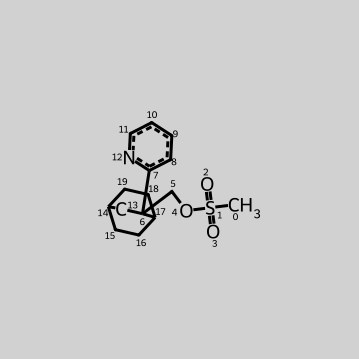 CS(=O)(=O)OCC1(c2ccccn2)CC2CCC1CC2